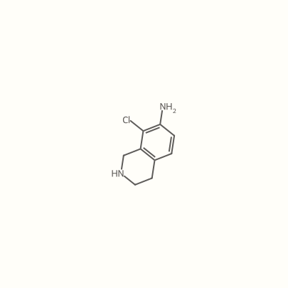 Nc1ccc2c(c1Cl)CNCC2